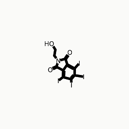 O=C1c2c(I)c(I)c(I)c(I)c2C(=O)N1CCO